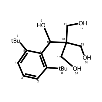 CC(C)(C)c1cccc(C(C)(C)C)c1C(O)C(CO)(CO)CO